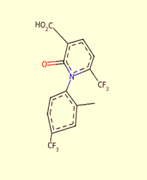 Cc1cc(C(F)(F)F)ccc1-n1c(C(F)(F)F)ccc(C(=O)O)c1=O